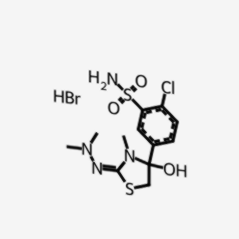 Br.CN(C)N=C1SCC(O)(c2ccc(Cl)c(S(N)(=O)=O)c2)N1C